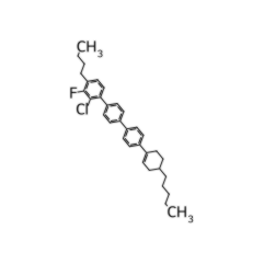 CCCCCC1CC=C(c2ccc(-c3ccc(-c4ccc(CCCC)c(F)c4Cl)cc3)cc2)CC1